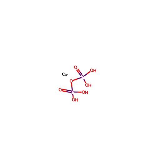 O=P(O)(O)OP(=O)(O)O.[Cu]